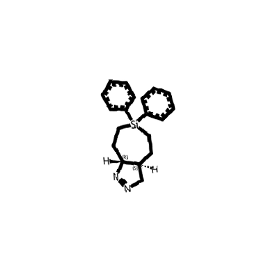 c1ccc([Si]2(c3ccccc3)CC[C@H]3CN=N[C@@H]3CC2)cc1